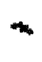 O=C1c2[nH]c3cc(-c4ccncc4)nn3c(=O)c2CN1Cc1cccnc1